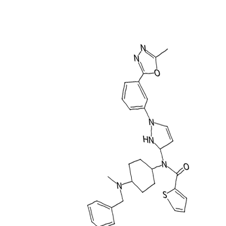 Cc1nnc(-c2cccc(N3C=CC(N(C(=O)c4cccs4)C4CCC(N(C)Cc5ccccc5)CC4)N3)c2)o1